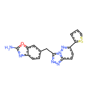 Nc1nc2ccc(Cc3nnc4ccc(-c5cccs5)nn34)cc2o1